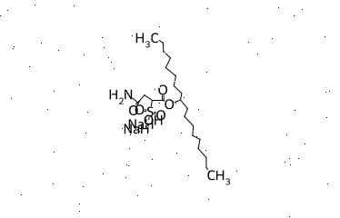 CCCCCCCCCC(CCCCCCCC)OC(=O)C(CC(N)=O)S(=O)(=O)O.[NaH].[NaH]